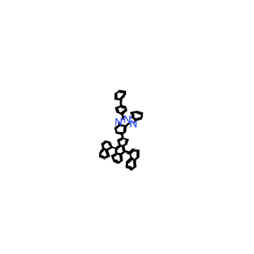 c1ccc(-c2ccc(-c3nc4ccc(-c5ccc6c(-c7cccc8ccccc78)c7ccccc7c(-c7cccc8ccccc78)c6c5)cc4c4nc5ccccc5n34)cc2)cc1